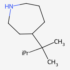 CC(C)C(C)(C)C1CCCNCC1